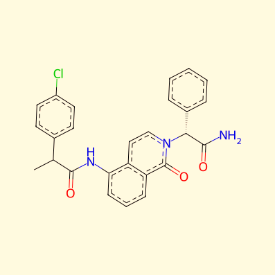 CC(C(=O)Nc1cccc2c(=O)n([C@@H](C(N)=O)c3ccccc3)ccc12)c1ccc(Cl)cc1